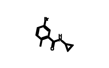 Cc1ccc(Br)cc1C(=O)NC1CC1